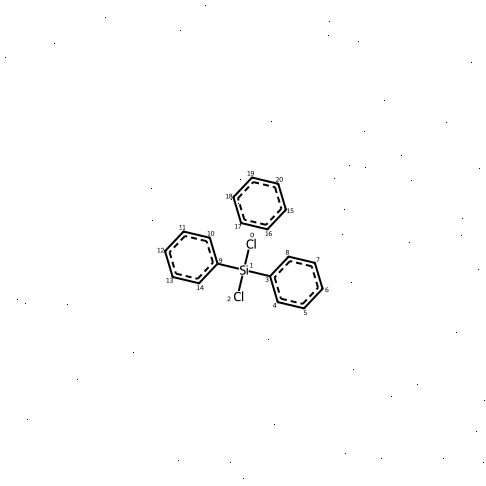 Cl[Si](Cl)(c1ccccc1)c1ccccc1.c1ccccc1